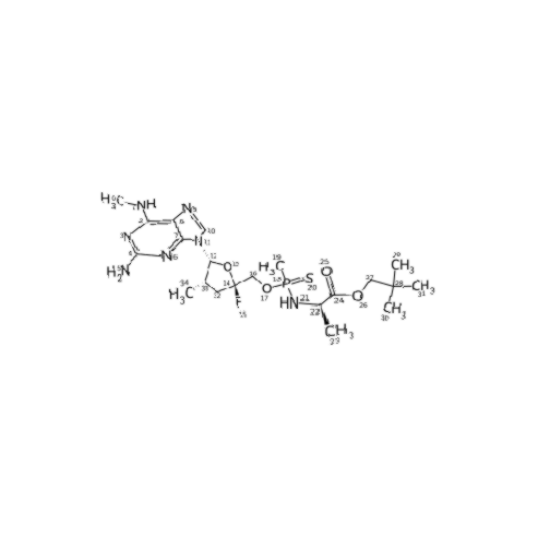 CNc1nc(N)nc2c1ncn2[C@@H]1O[C@](F)(COP(C)(=S)N[C@H](C)C(=O)OCC(C)(C)C)C[C@@H]1C